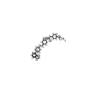 COC1CCC(CC(=O)NC2CCC(CCN3CCN(c4nccc5c4OCC5)CC3)CC2)CC1